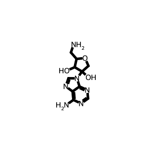 NCC1OCC(O)(n2cnc3c(N)ncnc32)C1O